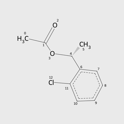 CC(=O)O[C@H](C)c1ccccc1Cl